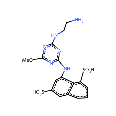 COc1nc(NCCN)nc(Nc2cc(S(=O)(=O)O)cc3cccc(S(=O)(=O)O)c23)n1